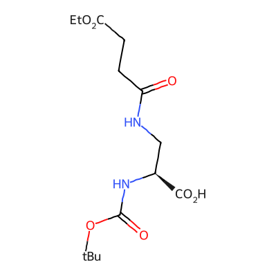 CCOC(=O)CCC(=O)NC[C@H](NC(=O)OC(C)(C)C)C(=O)O